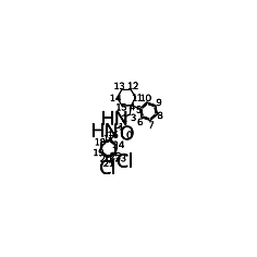 O=C(NCC1(c2ccccc2)CCCCC1)Nc1ccc(Cl)c(Cl)c1